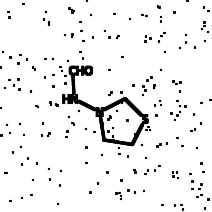 O=CNN1CCSC1